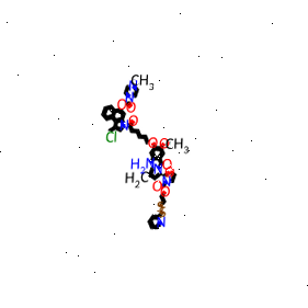 C=C1C[C@@H](C2OCCN2C(=O)OCCSSc2ccccn2)N(C(=O)c2cc(OC)c(OCCCCCC(=O)N3CC(CCl)c4c3cc(OC(=O)N3CCN(C)CC3)c3ccccc43)cc2N)C1